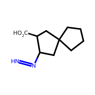 N=NC1CC2(CCCC2)CC1C(=O)O